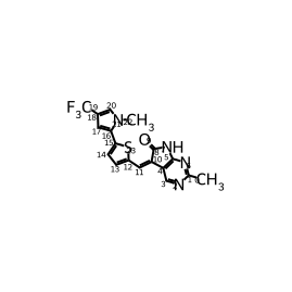 Cc1ncc2c(n1)NC(=O)C2=Cc1ccc(-c2cc(C(F)(F)F)cn2C)s1